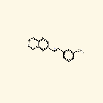 Cc1cccc(/C=C/c2cnc3ccccc3n2)c1